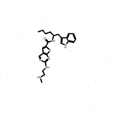 CCCCC(Cc1c[nH]c2ccccc12)NC(=O)c1cc2cnc(NCCNC)nc2s1